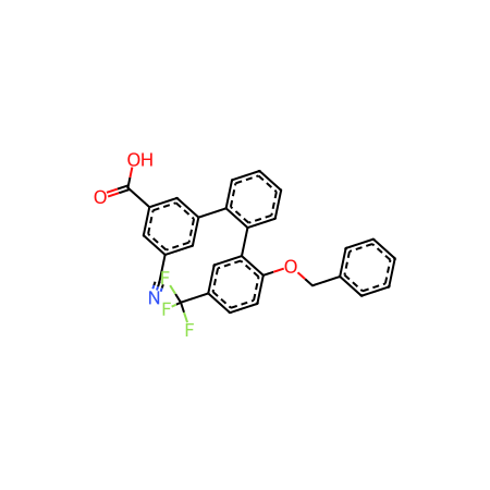 N#Cc1cc(C(=O)O)cc(-c2ccccc2-c2cc(C(F)(F)F)ccc2OCc2ccccc2)c1